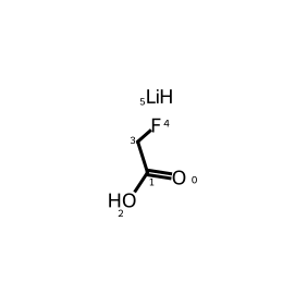 O=C(O)CF.[LiH]